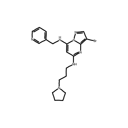 Brc1cnn2c(NCc3cccnc3)cc(NCCCN3CCCC3)nc12